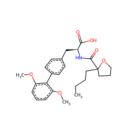 CCCCC1(C(=O)N[C@@H](Cc2ccc(-c3c(OC)cccc3OC)cc2)C(=O)O)CCCO1